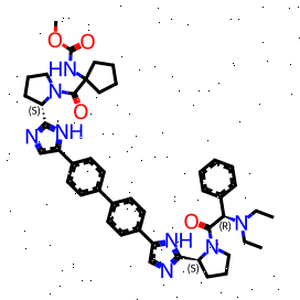 CCN(CC)[C@@H](C(=O)N1CCC[C@H]1c1ncc(-c2ccc(-c3ccc(-c4cnc([C@@H]5CCCN5C(=O)C5(NC(=O)OC)CCCC5)[nH]4)cc3)cc2)[nH]1)c1ccccc1